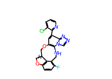 Fc1ccc2c3c1CNc1c(cc(-c4ncccc4Cl)c4nncn14)OC[C@H]3CO2